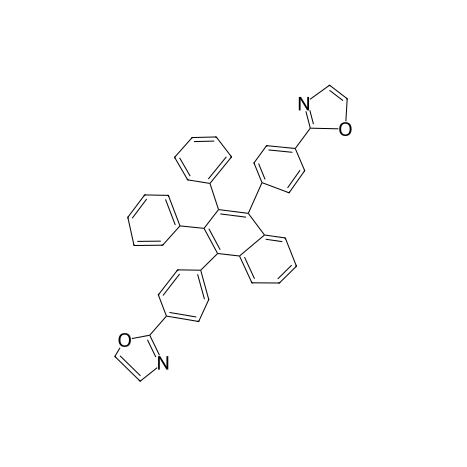 c1ccc(-c2c(-c3ccccc3)c(-c3ccc(-c4ncco4)cc3)c3ccccc3c2-c2ccc(-c3ncco3)cc2)cc1